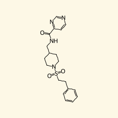 O=C(NCC1CCN(S(=O)(=O)CCc2ccccc2)CC1)c1ccncn1